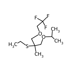 CCSC(C)(COCC(F)(F)F)COC(C)C